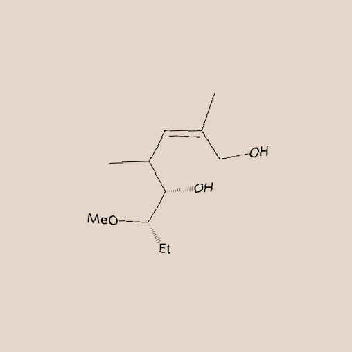 CC[C@H](OC)[C@@H](O)C(C)/C=C(/C)CO